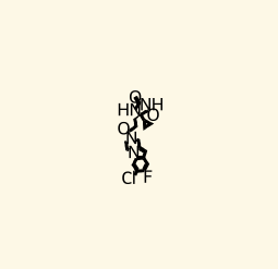 O=C1NC(=O)[C@](CCC(=O)N2CCn3c(cc4cc(F)c(Cl)cc43)C2)(C2CC2)N1